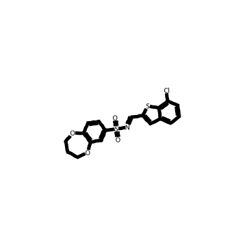 O=S(=O)(N=Cc1cc2cccc(Cl)c2s1)c1ccc2c(c1)OCCCO2